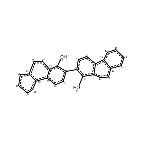 Oc1c(-c2ccc3c(ccc4ccccc43)c2O)ccc2c1ccc1ccccc12